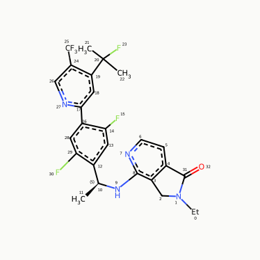 CCN1Cc2c(ccnc2N[C@@H](C)c2cc(F)c(-c3cc(C(C)(C)F)c(C(F)(F)F)cn3)cc2F)C1=O